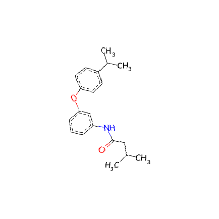 CC(C)CC(=O)Nc1cccc(Oc2ccc(C(C)C)cc2)c1